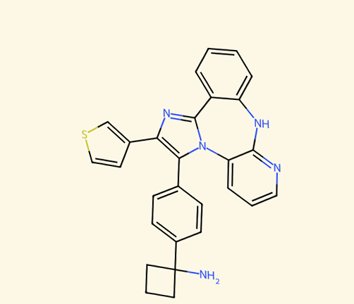 NC1(c2ccc(-c3c(-c4ccsc4)nc4n3-c3cccnc3Nc3ccccc3-4)cc2)CCC1